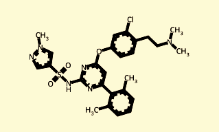 Cc1cccc(C)c1-c1cc(Oc2ccc(CCN(C)C)c(Cl)c2)nc(NS(=O)(=O)c2cnn(C)c2)n1